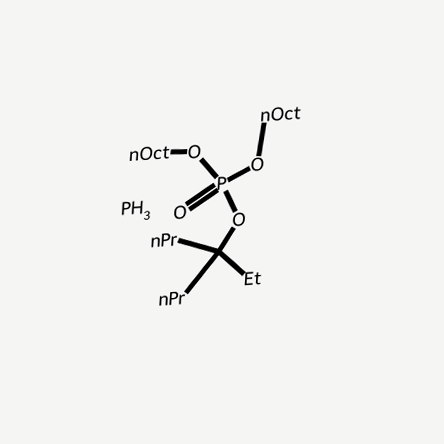 CCCCCCCCOP(=O)(OCCCCCCCC)OC(CC)(CCC)CCC.P